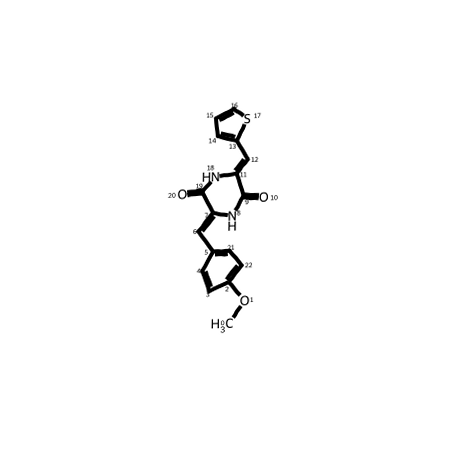 COc1ccc(/C=c2\[nH]c(=O)/c(=C/c3cccs3)[nH]c2=O)cc1